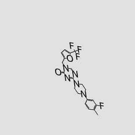 Cc1ccc(N2CCN(c3ncn(Cc4ccc(C(F)(F)F)o4)c(=O)n3)CC2)cc1F